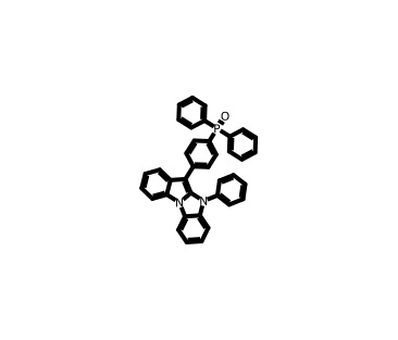 O=P(c1ccccc1)(c1ccccc1)c1ccc(-c2c3ccccc3n3c4ccccc4n(-c4ccccc4)c23)cc1